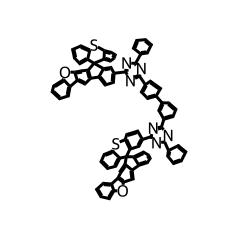 c1ccc(-c2nc(-c3cccc(-c4ccc(-c5nc(-c6ccccc6)nc(-c6ccc7c(c6)C6(c8ccccc8Sc8ccccc86)c6cc8oc9ccccc9c8cc6-7)n5)cc4)c3)nc(-c3ccc4c(c3)C3(c5ccccc5S4)c4ccccc4-c4cc5oc6ccccc6c5cc43)n2)cc1